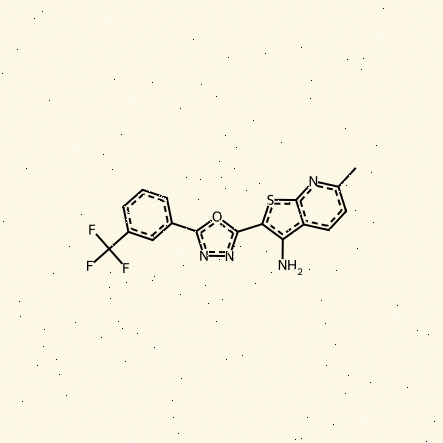 Cc1ccc2c(N)c(-c3nnc(-c4cccc(C(F)(F)F)c4)o3)sc2n1